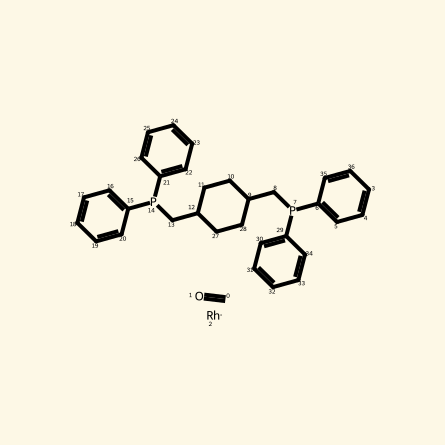 C=O.[Rh].c1ccc(P(CC2CCC(CP(c3ccccc3)c3ccccc3)CC2)c2ccccc2)cc1